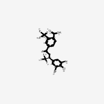 O=C(O)c1ccc(/C(F)=C/[C@@H](c2cc(Br)c(Cl)c(Br)c2)C(F)(F)F)cc1C(F)(F)F